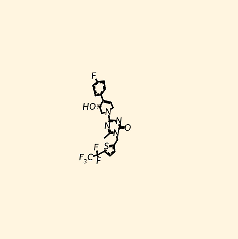 Cc1nc(N2CC=C(c3ccc(F)cc3)[C@@H](O)C2)nc(=O)n1Cc1ccc(C(F)(F)C(F)(F)F)s1